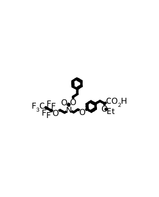 CCOC(Cc1ccc(OCCN(CCOC(F)(F)C(F)(F)C(F)(F)F)C(=O)OCCc2ccccc2)cc1)C(=O)O